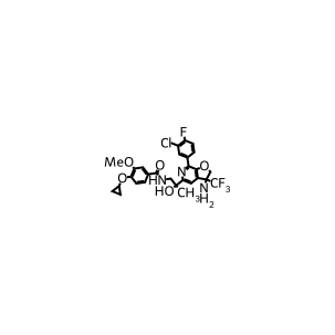 COc1cc(C(=O)NCC(C)(O)c2cc3c(c(-c4ccc(F)c(Cl)c4)n2)OCC3(N)C(F)(F)F)ccc1OC1CC1